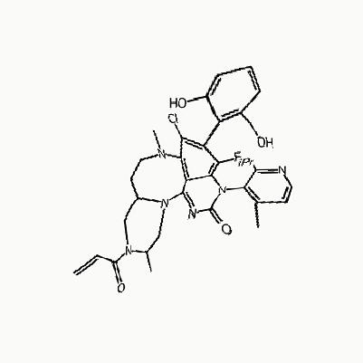 C=CC(=O)N1CC2CCN(C)c3c(Cl)c(-c4c(O)cccc4O)c(F)c4c3c(nc(=O)n4-c3c(C)ccnc3C(C)C)N2CC1C